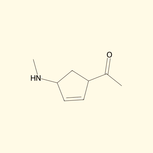 CNC1C=CC(C(C)=O)C1